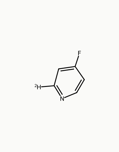 [2H]c1cc(F)ccn1